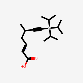 CC(C#C[Si](C(C)C)(C(C)C)C(C)C)C/C=C/C(=O)O